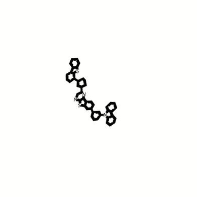 c1cc(-c2cnc3sc4cc(-c5cccc(-n6c7ccccc7c7ccccc76)c5)ccc4c3n2)cc(-c2cccc3c2sc2ccccc23)c1